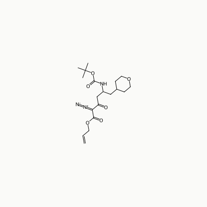 C=CCOC(=O)C(=[N+]=[N-])C(=O)CC(CC1CCOCC1)NC(=O)OC(C)(C)C